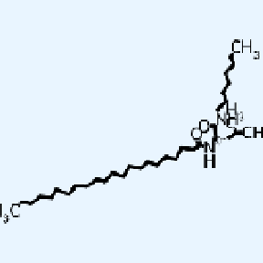 CCCCCCCCCCCCCCCCCCCCCC(=O)N[C@@H](CC(C)C)C(=O)NCCCCCCCC